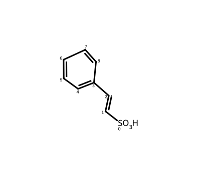 O=S(=O)(O)C=[C]c1ccccc1